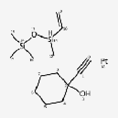 C#CC1(O)CCCCC1.C=C[SiH](C)O[Si](C)(C)C.[Pt]